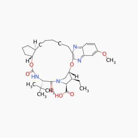 CC[C@@H]1[C@@H]2CN(C(=O)[C@H](C(C)(C)C)NC(=O)O[C@@H]3CCC[C@H]3CCCCCc3nc4ccc(OC)cc4nc3O2)[C@@H]1C(=O)O